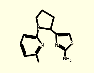 Cc1cccc(N2CCCC2c2csc(N)n2)n1